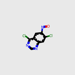 O=Nc1cc2c(Cl)ncnc2cc1Cl